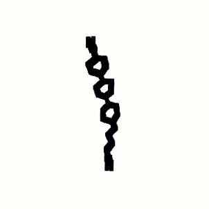 N#C/C=C/CCC1CCC([C@H]2CC[C@H](c3ccc(C#N)cc3)CC2)CC1